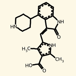 Cc1[nH]c(C=C2C(=O)Nc3cccc(C4CCNCC4)c32)c(C)c1C(=O)O